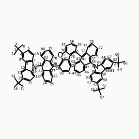 CC(C)(C)c1ccc2c(c1)c1cc(C(C)(C)C)ccc1n2-c1c2ccccc2c(-c2cccc3c2oc2cccc(-c4c5ccccc5c(-n5c6ccc(C(C)(C)C)cc6c6cc(C(C)(C)C)ccc65)c5ccccc45)c23)c2ccccc12